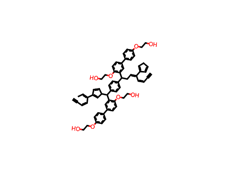 C#C/C=C\C(=C/C)C1=CC(C(c2ccc(C(C/C=C(\C=C/C#C)C3=CCC=C3)c3cc(-c4ccc(OCCO)cc4)ccc3OCCO)cc2)c2cc(-c3ccc(OCCO)cc3)ccc2OCCO)C=C1